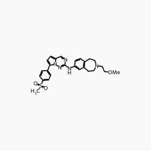 COCCN1CCc2ccc(Nc3ncc4ccc(-c5ccc(S(C)(=O)=O)cc5)n4n3)cc2CC1